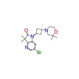 CC1(C)CN([C@]2(C)C[C@H](N3C(=O)C(C)(C)c4ncc(Br)cc43)C2)CCO1